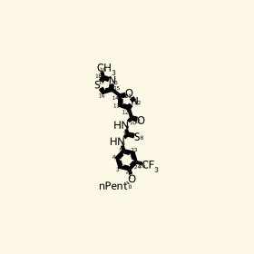 CCCCCOc1ccc(NC(=S)NC(=O)c2cc(-c3csc(C)n3)on2)cc1C(F)(F)F